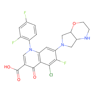 O=C(O)c1cn(-c2ccc(F)cc2F)c2cc(N3CC4NCCOC4C3)c(F)c(Cl)c2c1=O